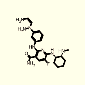 CN[C@H]1CCCC[C@H]1Nc1nc(Nc2cccc(N(N)/C=C\N)c2)c(C(N)=O)cc1F